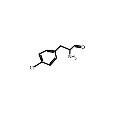 NC(C=O)Cc1ccc(Cl)cc1